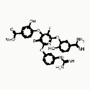 COC(=O)c1ccc(Oc2c(F)c(Oc3cccc(NC(=N)N)c3)nc(Oc3cc(C(=N)N)ccc3O)c2F)c(O)c1